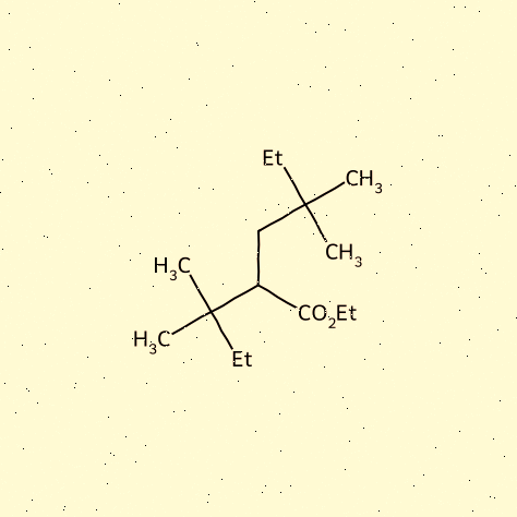 CCOC(=O)C(CC(C)(C)CC)C(C)(C)CC